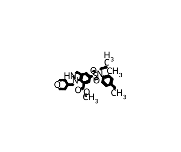 CCc1ccc(N(CC(C)C)S(=O)(=O)c2cc3c(c(C(=O)OC)c2)N(CC2CCOCC2)NC3)cc1